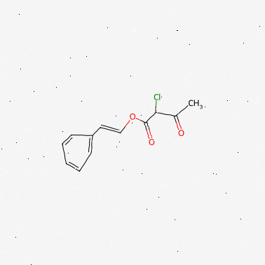 CC(=O)C(Cl)C(=O)OC=Cc1ccccc1